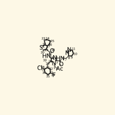 CC(=O)Cn1c(C(=O)NCc2cccnn2)nc(NC(=O)c2csc3ccccc23)c1[C@@H](C)c1cc(F)ccc1Cl